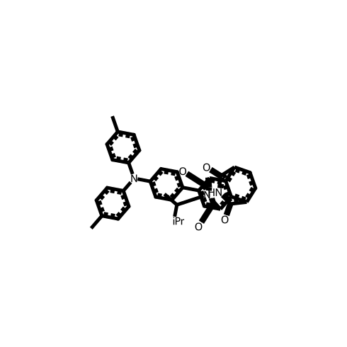 Cc1ccc(N(c2ccc(C)cc2)c2ccc(-c3cc4c(=O)n(C(C)C(C)C)c(=O)c3c3c5ccc(c(=O)[nH]c5=O)c43)cc2)cc1